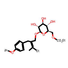 CCOC(=O)OC[C@H]1O[C@@H](OC/C(Cc2ccc(OC(C)C)cc2)=C(/C)CC)[C@H](O)[C@@H](O)[C@@H]1O